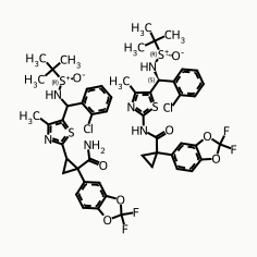 Cc1nc(C2CC2(C(N)=O)c2ccc3c(c2)OC(F)(F)O3)sc1C(N[S@@+]([O-])C(C)(C)C)c1ccccc1Cl.Cc1nc(NC(=O)C2(c3ccc4c(c3)OC(F)(F)O4)CC2)sc1[C@@H](N[S@@+]([O-])C(C)(C)C)c1ccccc1Cl